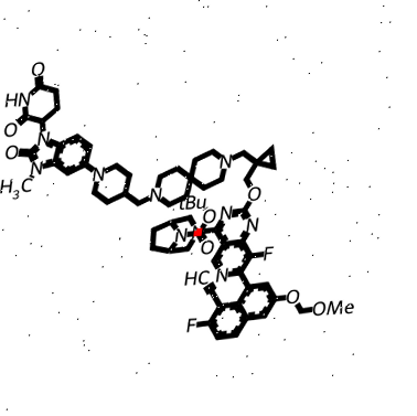 C#Cc1c(F)ccc2cc(OCOC)cc(-c3ncc4c(N5CC6CCC(C5)N6C(=O)OC(C)(C)C)nc(OCC5(CN6CCC7(CCN(CC8CCN(c9ccc%10c(c9)n(C)c(=O)n%10C9CCC(=O)NC9=O)CC8)CC7)CC6)CC5)nc4c3F)c12